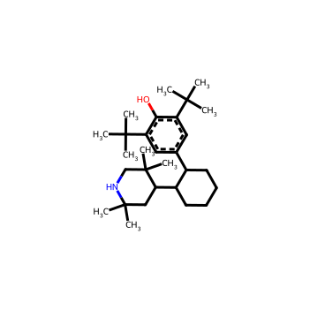 CC1(C)CC(C2CCCCC2c2cc(C(C)(C)C)c(O)c(C(C)(C)C)c2)C(C)(C)CN1